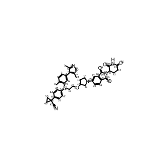 Cc1ccc(-c2c(C)noc2C)cc1N(CCOC1CCN(c2ccc3c(c2)C(=O)N(C2CCC(=O)NC2=O)C3=O)C1)c1ccc(C2(C#N)CC2)cc1